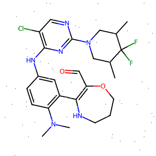 CC1CN(c2ncc(Cl)c(Nc3ccc(N(C)C)c(C4=C(C=O)OCCCN4)c3)n2)CC(C)C1(F)F